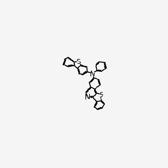 c1ccc(N(c2ccc3c(cnc4c5ccccc5sc34)c2)c2ccc3c(c2)sc2ccccc23)cc1